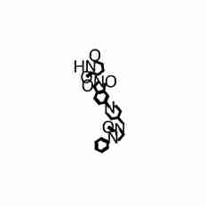 O=C1CCC(N2C(=O)c3ccc(N4CCC(CN5CCN(c6ccccc6)C5=O)CC4)cc3C2=O)C(=O)N1